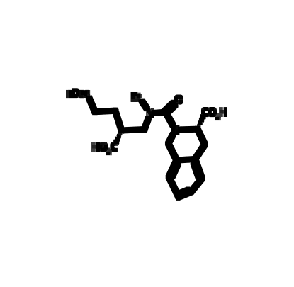 CCCCCCCCCCCC[C@H](CN(CC)C(=O)N1Cc2ccccc2C[C@H]1C(=O)O)C(=O)O